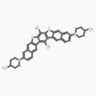 CC1CCN(c2ccc3cc4c(cc3c2)oc2c(C#N)c3oc5cc6cc(N7CCC(C)CC7)ccc6cc5c3c(C#N)c24)CC1